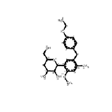 CCOc1ccc(Cc2cc(C3SC(CO)CC(O)C3O)c(OC)cc2C)cc1